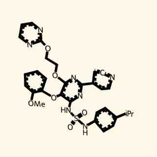 COc1ccccc1Oc1c(NS(=O)(=O)Nc2ccc(C(C)C)cc2)nc(-c2ccncc2)nc1OCCOc1ncccn1